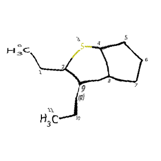 CCC1SC2CCCC2[C@H]1CC